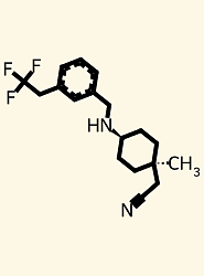 C[C@]1(CC#N)CC[C@@H](NCc2cccc(CC(F)(F)F)c2)CC1